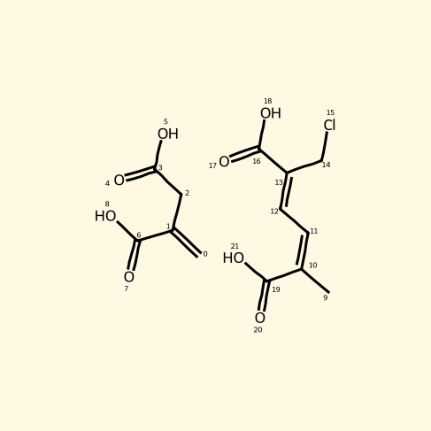 C=C(CC(=O)O)C(=O)O.CC(=CC=C(CCl)C(=O)O)C(=O)O